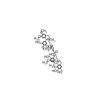 COc1cc2c(cc1OC)C(c1cc(CO)c(OC)c(OC)c1)[N+](C)(CCCOC(=O)/C=C/C(=O)OCCC[N+]1(C)CCc3cc(CO)c(CO)c(OC)c3C1Cc1cc(CO)c(CO)c(OC)c1)CC2